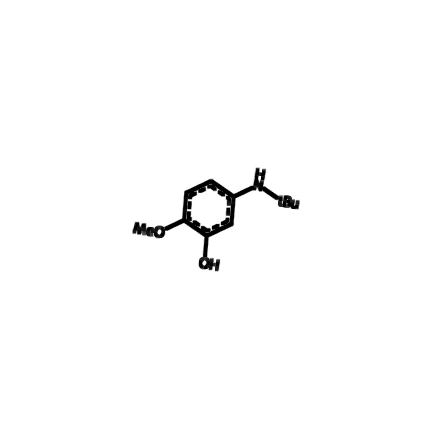 COc1ccc(NC(C)(C)C)cc1O